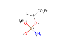 CCOC(=O)C(C)OS(N)(=O)=O.[LiH]